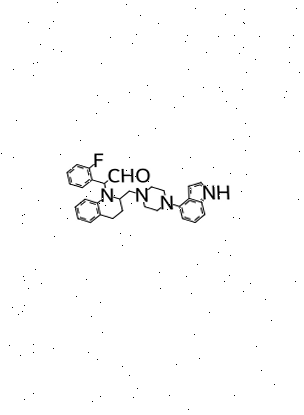 O=CC(c1ccccc1F)N1c2ccccc2CCC1CN1CCN(c2cccc3[nH]ccc23)CC1